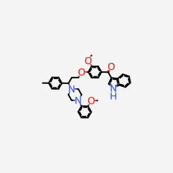 COc1cc(C(=O)c2c[nH]c3ccccc23)ccc1OCCC(c1ccc(C)cc1)N1CCN(c2ccccc2OC)CC1